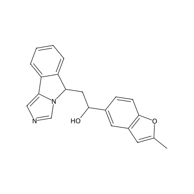 Cc1cc2cc(C(O)CC3c4ccccc4-c4cncn43)ccc2o1